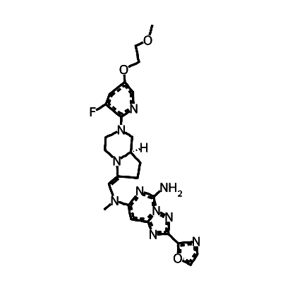 COCCOc1cnc(N2CCN3/C(=C/N(C)c4cc5nc(-c6ncco6)nn5c(N)n4)CC[C@@H]3C2)c(F)c1